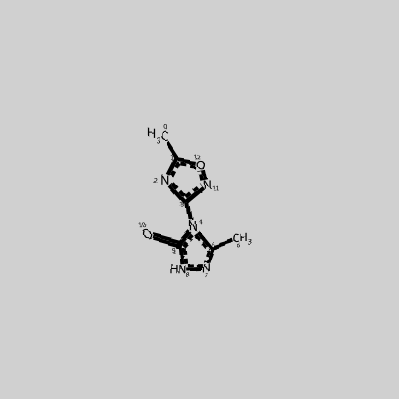 Cc1nc(-n2c(C)n[nH]c2=O)no1